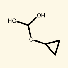 OC(O)OC1CC1